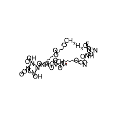 Cc1ccc(CCCC(=O)OCCCCCC(CNC(=O)CN2CCN(CO)CCN(COC=O)CCN(CC(=O)O)CC2)SC2CC(=O)N(CC(C)C(=O)N3CCC(CCCCOc4ccc5nccc(C(=O)NCC(=O)N6CC(C)(F)C[C@@H]6C#N)c5c4)CC3)C2=O)cc1